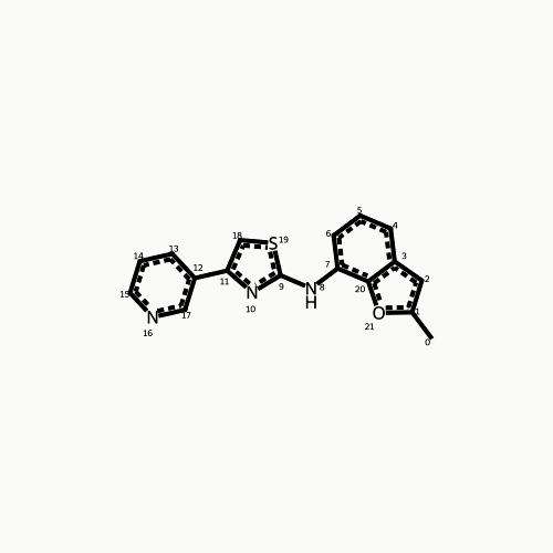 Cc1cc2cccc(Nc3nc(-c4cccnc4)cs3)c2o1